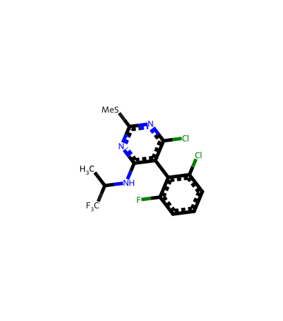 CSc1nc(Cl)c(-c2c(F)cccc2Cl)c(NC(C)C(F)(F)F)n1